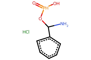 Cl.NC(O[PH](=O)O)c1ccccc1